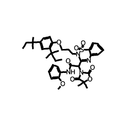 CCC(C)(C)c1ccc(OCCCN2C(C(C(=O)Nc3ccccc3OC)N3C(=O)OC(C)(C)C3=O)=Nc3ccccc3S2(=O)=O)c(C(C)(C)CC)c1